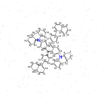 C1=CC2=C(CC1)N(c1ccc3c(-c4ccc(-c5cccc6ccccc56)cc4)c4cc(N5c6ccccc6Cc6ccccc65)ccc4c(-c4ccc(-c5cccc6ccccc56)cc4)c3c1)c1ccccc1C2